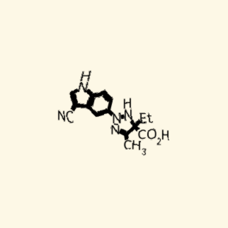 CCC1(C(=O)O)NN(c2ccc3[nH]cc(C#N)c3c2)N=C1C